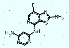 Nc1cc(Nc2ncc(F)c3nc(N)sc23)ncn1